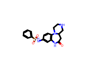 O=C1CC2CNCCN2c2ccc(NS(=O)(=O)c3ccccc3)cc2N1